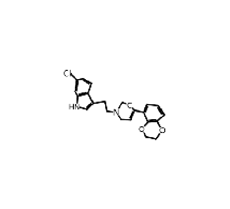 Clc1ccc2c(CCN3CC=C(c4cccc5c4OCCO5)CC3)c[nH]c2c1